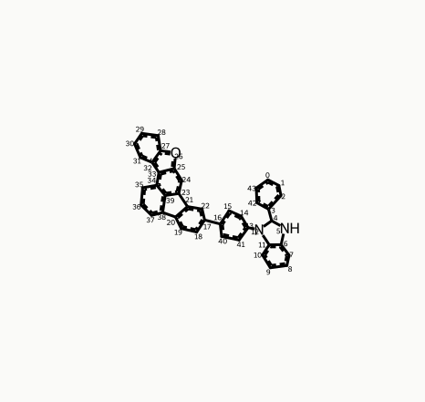 c1ccc(C2Nc3ccccc3N2c2ccc(-c3ccc4c(c3)-c3cc5oc6ccccc6c5c5cccc-4c35)cc2)cc1